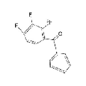 [2H]c1c(C(=O)c2ccccc2)ccc(F)c1F